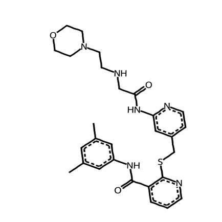 Cc1cc(C)cc(NC(=O)c2cccnc2SCc2ccnc(NC(=O)CNCCN3CCOCC3)c2)c1